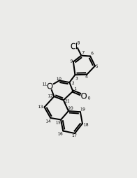 O=c1c(-c2cccc(Cl)c2)coc2ccc3ccccc3c12